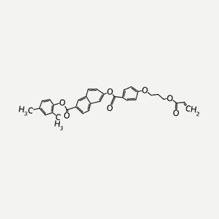 C=CC(=O)OCCCOc1ccc(C(=O)Oc2ccc3cc(C(=O)Oc4ccc(C)cc4C)ccc3c2)cc1